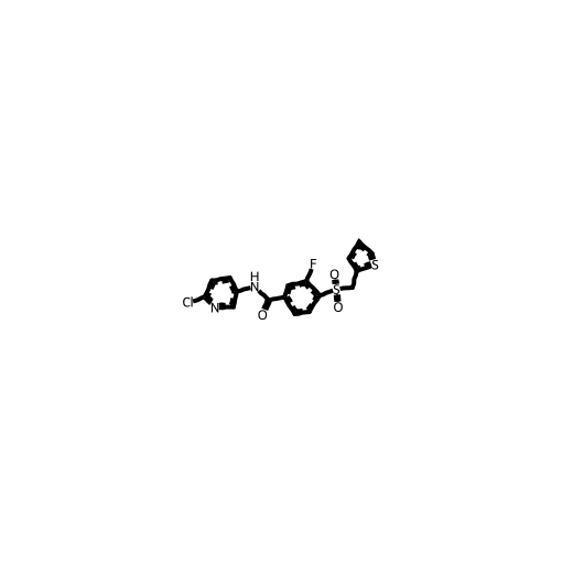 O=C(Nc1ccc(Cl)nc1)c1ccc(S(=O)(=O)Cc2cccs2)c(F)c1